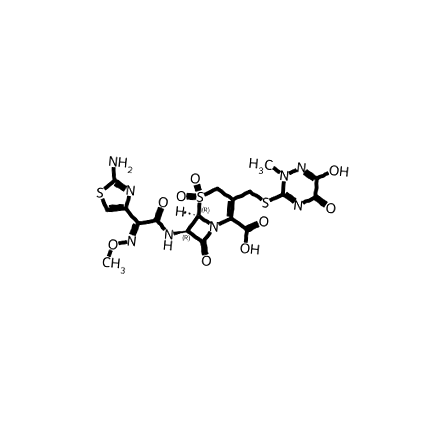 CON=C(C(=O)N[C@@H]1C(=O)N2C(C(=O)O)=C(CSc3nc(=O)c(O)nn3C)CS(=O)(=O)[C@H]12)c1csc(N)n1